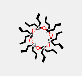 C=CC[Si]1(CCC)O[Si](CC=C)(CCC)O[Si](CC=C)(CCC)O[Si](CC=C)(CCC)O[Si](CC=C)(CCC)O[Si](CC=C)(CCC)O1